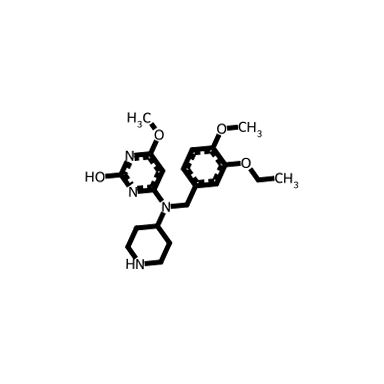 CCOc1cc(CN(c2cc(OC)nc(O)n2)C2CCNCC2)ccc1OC